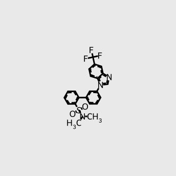 CN(C)S(=O)(=O)c1ccccc1-c1cccc(-n2cnc3cc(C(F)(F)F)ccc32)c1